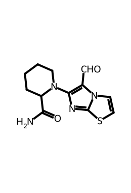 NC(=O)C1CCCCN1c1nc2sccn2c1C=O